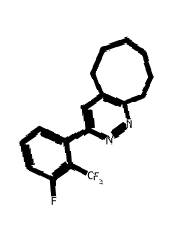 Fc1cccc(-c2cc3c(nn2)CCCCCC3)c1C(F)(F)F